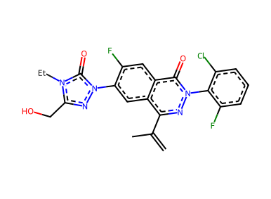 C=C(C)c1nn(-c2c(F)cccc2Cl)c(=O)c2cc(F)c(-n3nc(CO)n(CC)c3=O)cc12